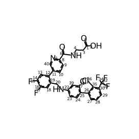 O=C(O)CCNC(=O)c1ccc(-c2cc(F)c(F)cc2CNc2ccc(-c3cccc(C(F)(F)F)c3Cl)c(Cl)c2)cn1